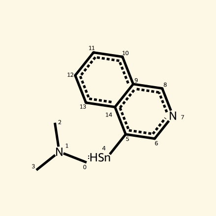 CN(C)C.[SnH][c]1cncc2ccccc12